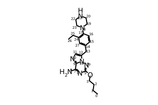 CCCCOc1nc(N)c2ncc(Cc3ccc(N4CCNCC4)c(CC)c3)n2n1